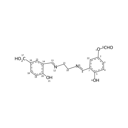 O=COc1ccc(O)c(/C=N/CC/N=C/c2cc(C(=O)O)ccc2O)c1